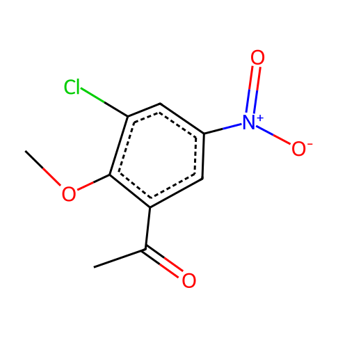 COc1c(Cl)cc([N+](=O)[O-])cc1C(C)=O